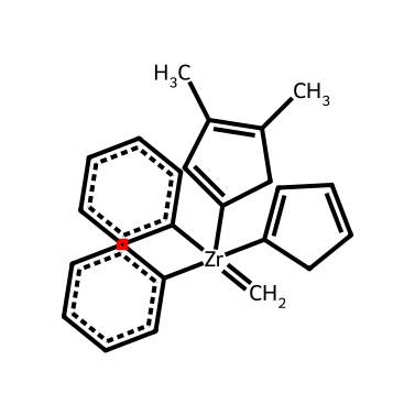 [CH2]=[Zr]([C]1=CC=CC1)([C]1=CC(C)=C(C)C1)([c]1ccccc1)[c]1ccccc1